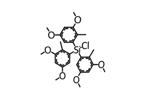 COc1cc(OC)c(C)c([Si](Cl)(c2cc(OC)cc(OC)c2C)c2cc(OC)cc(OC)c2C)c1